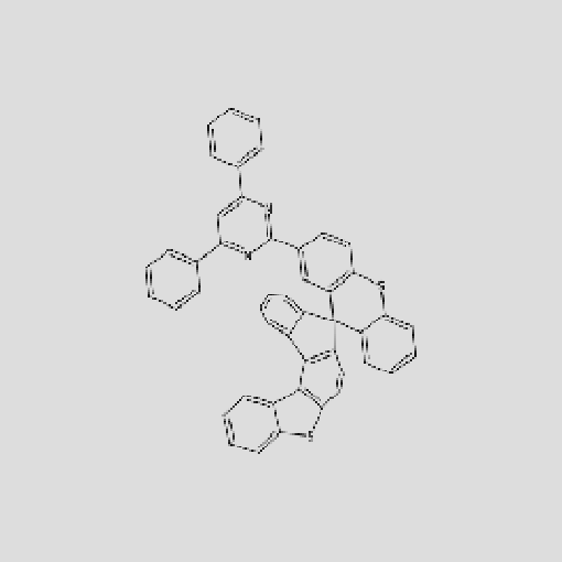 c1ccc(-c2cc(-c3ccccc3)nc(-c3ccc4c(c3)C3(c5ccccc5S4)c4ccccc4-c4c3ccc3sc5ccccc5c43)n2)cc1